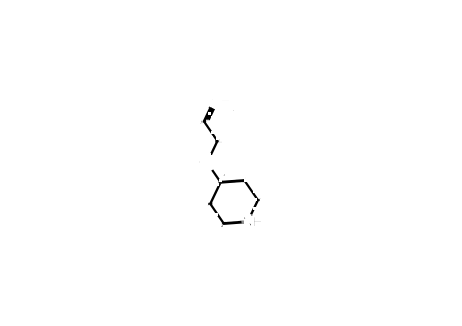 C=CCOC1CCNCC1